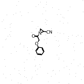 N#CC1CN1C(=O)COc1ccccc1